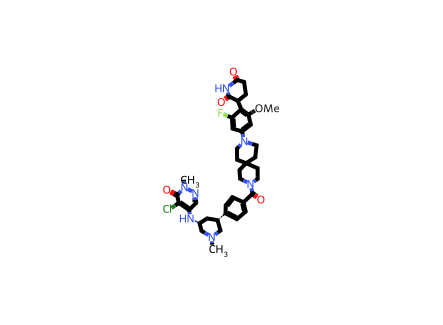 COc1cc(N2CCC3(CCN(C(=O)c4ccc([C@H]5C[C@@H](Nc6cnn(C)c(=O)c6Cl)CN(C)C5)cc4)CC3)CC2)cc(F)c1C1CCC(=O)NC1=O